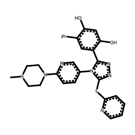 CC(C)c1cc(-c2nnc(Sc3ccccn3)n2-c2ccc(N3CCN(C)CC3)nc2)c(O)cc1O